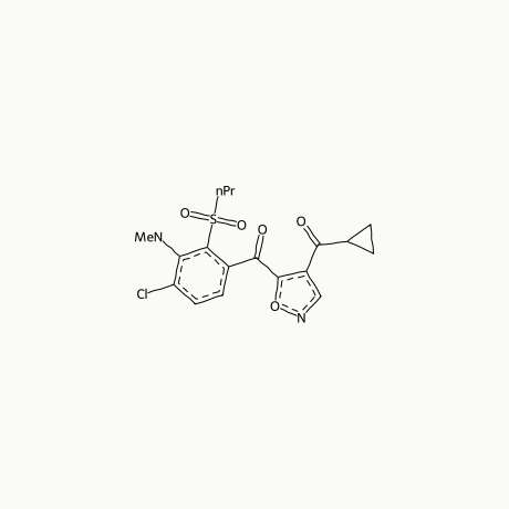 CCCS(=O)(=O)c1c(C(=O)c2oncc2C(=O)C2CC2)ccc(Cl)c1NC